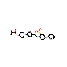 C=C(C)C(=O)OC1CCN(c2ccc(C=CC3C=CC(c4ccccc4)=CC3=S(=O)=O)cc2)CC1